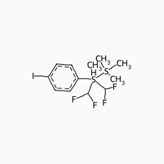 CS(C)(C)[SH](C)(c1ccc(I)cc1)(C(F)F)C(F)F